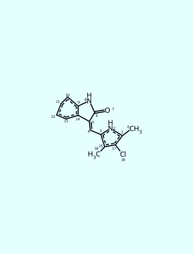 Cc1[nH]c(C=C2C(=O)Nc3ccccc32)c(C)c1Cl